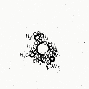 CC[C@H]1OC(=O)[C@H](C)[C@@H](O[C@H]2C[C@@](C)(OC)[C@@H](O)[C@H](C)O2)[C@H](C)[C@@H](O[C@@H]2O[C@H](C)C[C@H](N(C)CC/C(=C/N[C@H](CF)[C@H](OC)c3ccc(-n4cncn4)cc3)NN)[C@H]2O)[C@](C)(O)C[C@@H](C)CN(C)[C@H](C)[C@@H](O)[C@]1(C)O